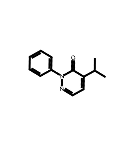 CC(C)c1ccnn(-c2ccccc2)c1=O